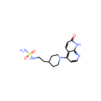 NS(=O)(=O)NCCC1CCN(c2ccnc3[nH]c(=O)ccc23)CC1